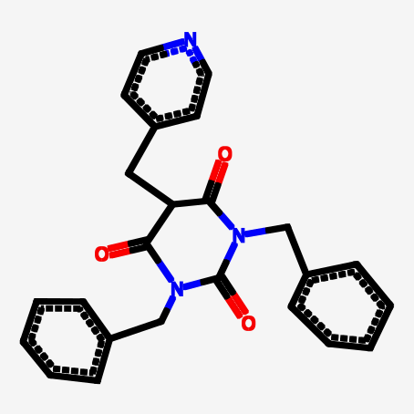 O=C1C(Cc2ccncc2)C(=O)N(Cc2ccccc2)C(=O)N1Cc1ccccc1